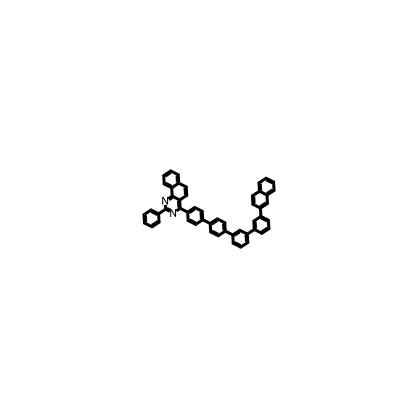 c1ccc(-c2nc(-c3ccc(-c4ccc(-c5cccc(-c6cccc(-c7ccc8ccccc8c7)c6)c5)cc4)cc3)c3ccc4ccccc4c3n2)cc1